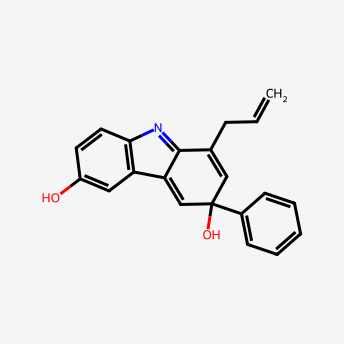 C=CCC1=CC(O)(c2ccccc2)C=C2C1=Nc1ccc(O)cc12